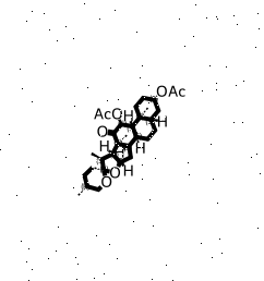 CC(=O)O[C@H]1CC[C@@]2(C)[C@@H](CC[C@@H]3[C@@H]2[C@H](OC(C)=O)C(=O)[C@]2(C)[C@@H]4[C@H](C[C@@H]32)O[C@]2(CC[C@@H](C)CO2)[C@H]4C)C1